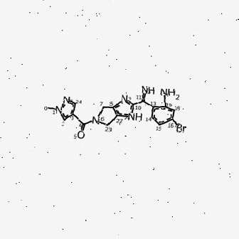 Cn1cc(C(=O)N2Cc3nc(C(=N)c4ccc(Br)cc4N)[nH]c3C2)cn1